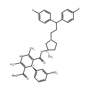 COC(=O)C1=C(C)NC(C)=C(C(=O)O[C@]2(C)CCN(CCC(c3ccc(F)cc3)c3ccc(F)cc3)C2)[C@H]1c1cccc([N+](=O)[O-])c1